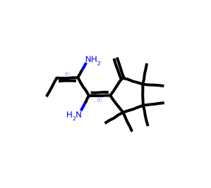 C=C1/C(=C(N)\C(N)=C/C)C(C)(C)C(C)(C)C1(C)C